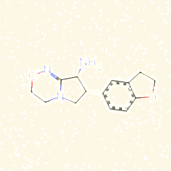 N[C@@H]1C2=NOCCN2C[C@H]1c1ccc2c(c1)CCO2